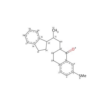 CSc1ccc2c(c1)C(=O)C(CC(C)C1CCc3ccccc31)CC2